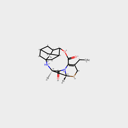 CC(=O)OCC1=C2C(=O)OC3C4CC5CC3CC(C5)(C4)N[C@H]3C(=O)N2[C@@H]3SC1